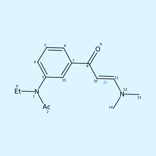 CCN(C(C)=O)c1cccc(C(=O)/C=C/N(C)C)c1